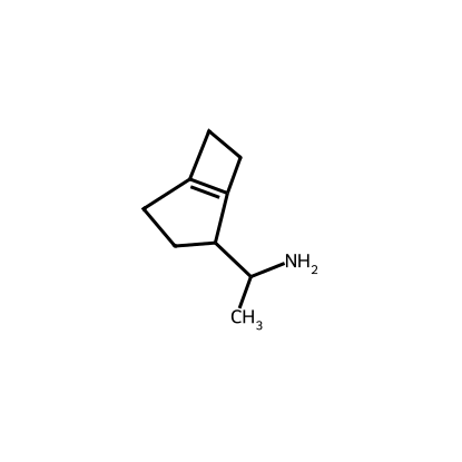 CC(N)C1CCC2=C1CC2